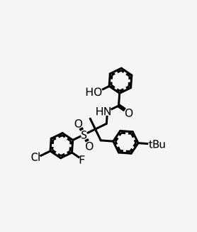 CC(C)(C)c1ccc(CC(C)(CNC(=O)c2ccccc2O)S(=O)(=O)c2ccc(Cl)cc2F)cc1